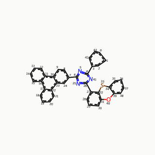 c1ccc(-c2nc(-c3ccc4c5ccccc5c5ccccc5c4c3)nc(-c3cccc4c3Sc3ccccc3O4)n2)cc1